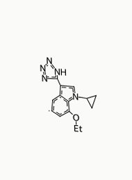 CCOc1c[c]cc2c(-c3nnn[nH]3)cn(C3CC3)c12